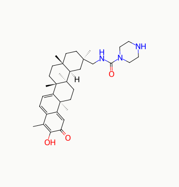 CC1=C(O)C(=O)C=C2C1=CC=C1[C@@]2(C)CC[C@]2(C)[C@@H]3C[C@](C)(CNC(=O)N4CCNCC4)CC[C@@]3(C)CC[C@@]12C